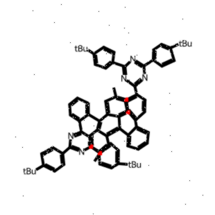 Cc1ccc2c(-c3ccccc3-c3nc(-c4ccc(C(C)(C)C)cc4)nc(-c4ccc(C(C)(C)C)cc4)n3)c3cc(C)ccc3c(-c3ccccc3-c3ccc(-c4nc(-c5ccc(C(C)(C)C)cc5)nc(-c5ccc(C(C)(C)C)cc5)n4)cc3)c2c1